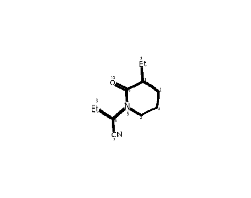 CCC1CCCN(C(C#N)CC)C1=O